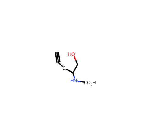 C#CCC(CO)NC(=O)O